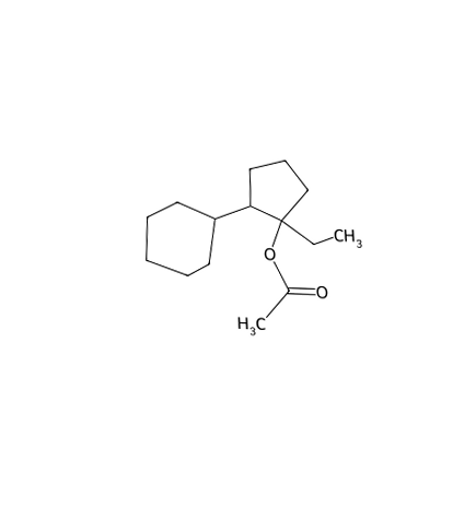 CCC1(OC(C)=O)CCCC1C1CCCCC1